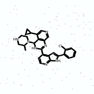 CC1CNCCN1C1NC(c2ccnc3[nH]c(-c4ccccc4Cl)cc23)=Nc2cncc(C3CC3)c21